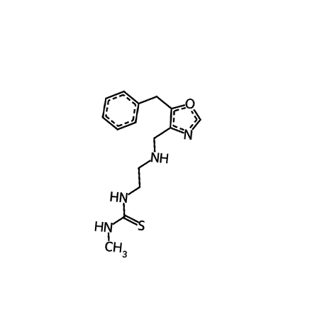 CNC(=S)NCCNCc1ncoc1Cc1ccccc1